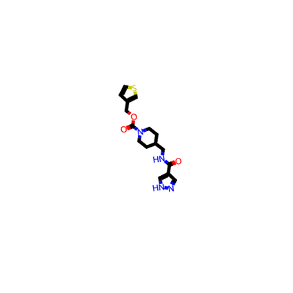 O=C(NCC1CCN(C(=O)OCc2ccsc2)CC1)c1cn[nH]c1